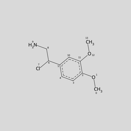 COc1ccc(C(Cl)CN)cc1OC